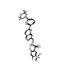 Cc1cc(F)c(C(=O)NCc2cc3nc(-c4cccc(N5CC(C)(C)OC(C)(C)C5)n4)ccc3cn2)cc1S(C)(=O)=O